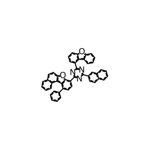 c1ccc(-c2ccc(-c3nc(-c4ccc5ccccc5c4)nc(-c4cccc5oc6ccccc6c45)n3)c3oc4ccc5ccccc5c4c23)cc1